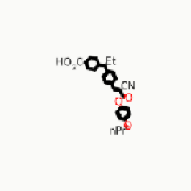 CCCOc1ccc(OC(=O)C(C#N)=Cc2ccc(C(CC)C3CCC(C(=O)O)CC3)cc2)cc1